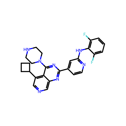 Fc1cccc(F)c1Nc1cc(-c2nc(N3CCNCC3)c3c(C4CCC4)cncc3n2)ccn1